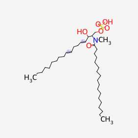 CCCCCCCCC/C=C/CC/C=C/C(O)C(COS(=O)(=O)O)N(C)C(=O)CCCCCCCCCCCCCCCCC